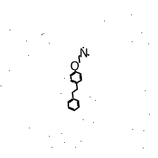 CN(C)CCOc1ccc(CCc2ccccc2)cc1